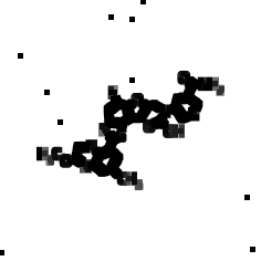 COc1cnc2c(-c3nc4cc(F)c5c(c4s3)CC(CN(C(=O)O)c3cncc(C(N)=O)c3)O5)cc(C)cc2n1